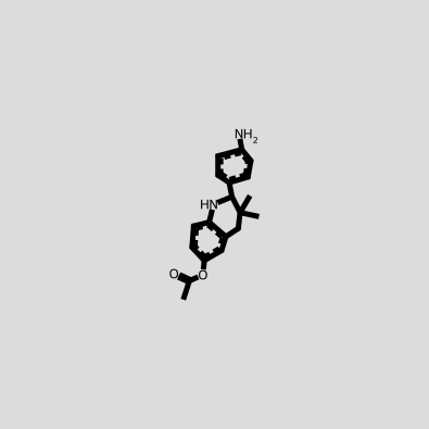 CC(=O)Oc1ccc2c(c1)CC(C)(C)C(c1ccc(N)cc1)N2